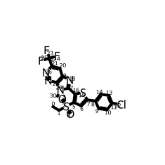 CCS(=O)(=O)c1cc(-c2ccc(Cl)cc2)sc1-c1nc2cc(C(F)(F)F)nnc2n1C